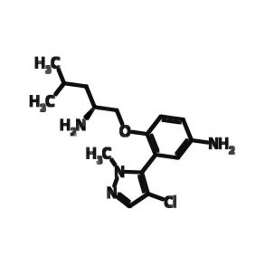 CC(C)C[C@H](N)COc1ccc(N)cc1-c1c(Cl)cnn1C